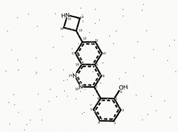 Oc1ccccc1-c1cc2ccc(C3CNC3)cc2nn1